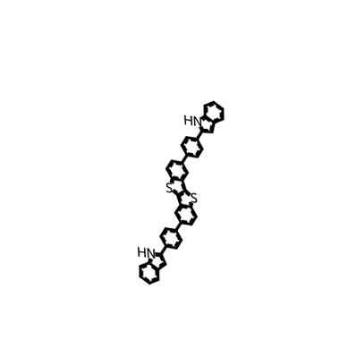 c1ccc2[nH]c(-c3ccc(-c4ccc5sc6c7cc(-c8ccc(-c9cc%10ccccc%10[nH]9)cc8)ccc7sc6c5c4)cc3)cc2c1